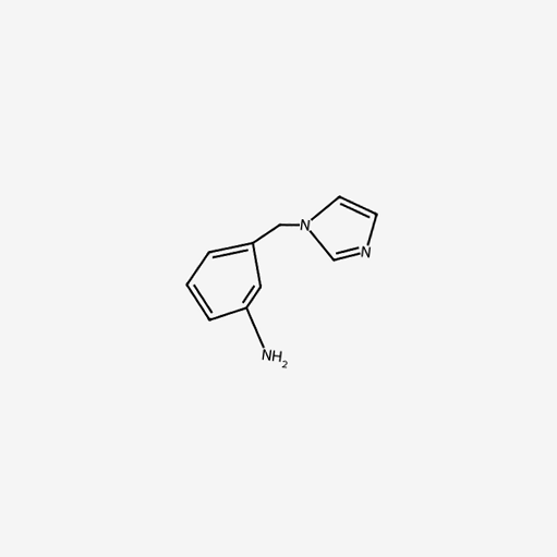 Nc1cccc(Cn2ccnc2)c1